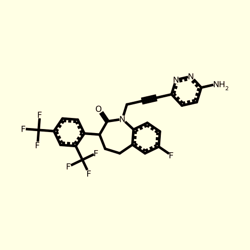 Nc1ccc(C#CCN2C(=O)C(c3ccc(C(F)(F)F)cc3C(F)(F)F)CCc3cc(F)ccc32)nn1